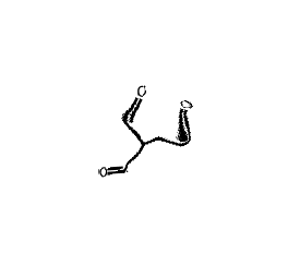 O=[C]C(C=O)C=O